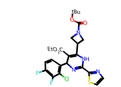 CCOC(=O)C1=C(C2CN(C(=O)OC(C)(C)C)C2)NC(c2nccs2)=NC1c1ccc(F)c(F)c1Cl